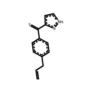 C=CCc1ccc(C(=S)c2cc[nH]n2)cc1